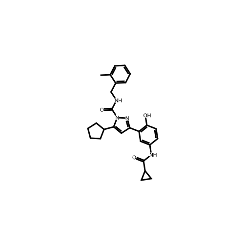 Cc1ccccc1CNC(=O)n1nc(-c2cc(NC(=O)C3CC3)ccc2O)cc1C1CCCC1